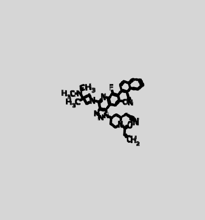 C=CC(=O)N1CCC(n2nnc3c(N4CC(C)(N(C)C)C4)nc4c(F)c(-c5ccc6ccccc6c5C#N)c(Cl)cc4c32)C[C@H]1CC#N